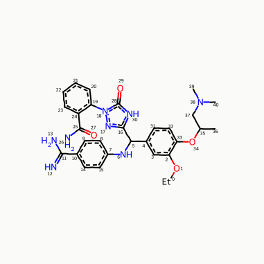 CCOc1cc(C(Nc2ccc(C(=N)N)cc2)c2nn(-c3ccccc3C(N)=O)c(=O)[nH]2)ccc1OC(C)CN(C)C